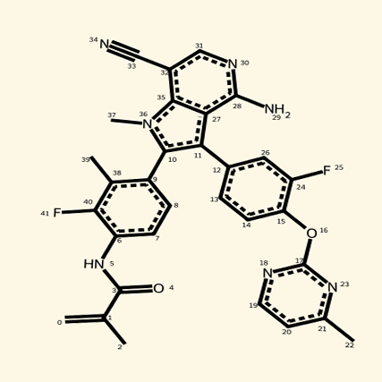 C=C(C)C(=O)Nc1ccc(-c2c(-c3ccc(Oc4nccc(C)n4)c(F)c3)c3c(N)ncc(C#N)c3n2C)c(C)c1F